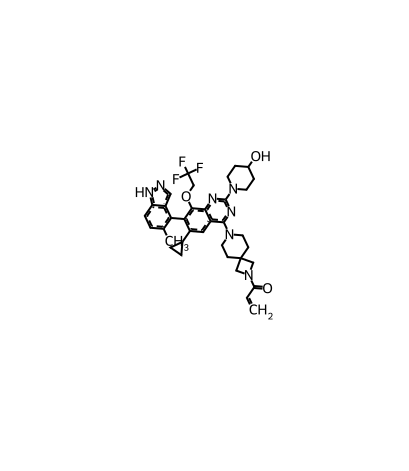 C=CC(=O)N1CC2(CCN(c3nc(N4CCC(O)CC4)nc4c(OCC(F)(F)F)c(-c5c(C)ccc6[nH]ncc56)c(C5CC5)cc34)CC2)C1